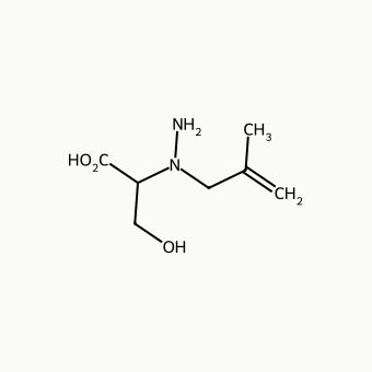 C=C(C)CN(N)C(CO)C(=O)O